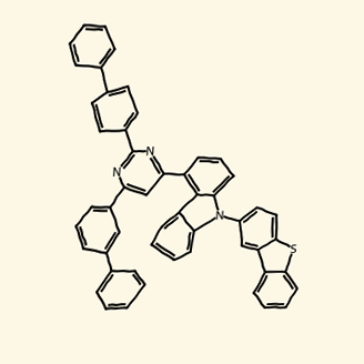 c1ccc(-c2ccc(-c3nc(-c4cccc(-c5ccccc5)c4)cc(-c4cccc5c4c4ccccc4n5-c4ccc5sc6ccccc6c5c4)n3)cc2)cc1